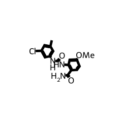 COc1ccc(C(N)=O)c(NC(=O)Nc2cc(C)cc(Cl)c2)c1